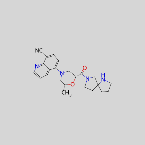 C[C@@H]1CN(c2ccc(C#N)c3ncccc23)C[C@H](C(=O)N2CCC3(CCCN3)C2)O1